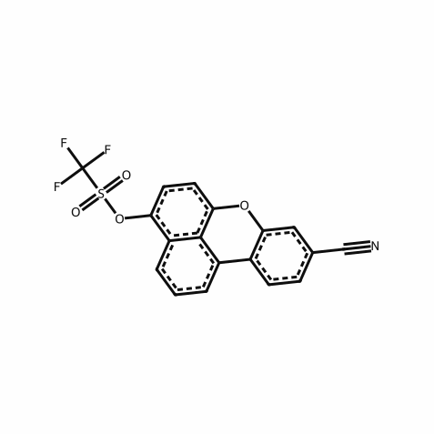 N#Cc1ccc2c(c1)Oc1ccc(OS(=O)(=O)C(F)(F)F)c3cccc-2c13